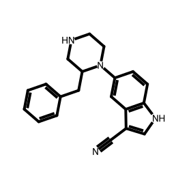 N#Cc1c[nH]c2ccc(N3CCNCC3Cc3ccccc3)cc12